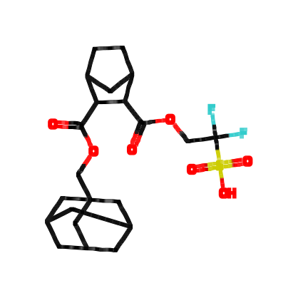 O=C(OCC12CC3CC(CC(C3)C1)C2)C1C2CCC(C2)C1C(=O)OCC(F)(F)S(=O)(=O)O